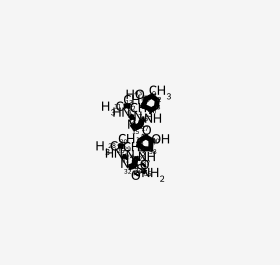 C[C@@H]1CC[C@@H](Nc2nc(NC(C)(C)C)ncc2O[C@@H]2CC[C@@H](Nc3nc(NC(C)(C)C)ncc3S(N)(=O)=O)C[C@H]2O)C[C@H]1O